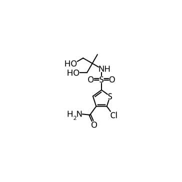 CC(CO)(CO)NS(=O)(=O)c1cc(C(N)=O)c(Cl)s1